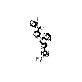 O=C(c1cnnc(N(Cc2ccc(-c3noc(C(F)(F)F)n3)s2)c2cnccn2)c1)N1C[C@H]2CC1CO2